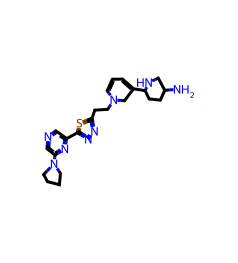 NC1CCC(C2=CC=CN(CCc3nnc(-c4cncc(N5CCCC5)n4)s3)C2)NC1